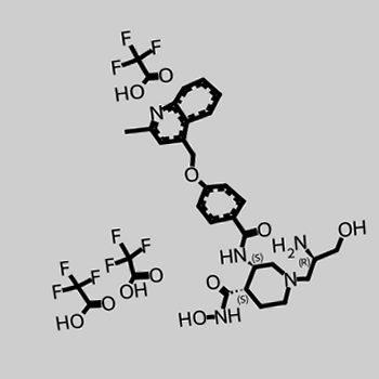 Cc1cc(COc2ccc(C(=O)N[C@@H]3CN(C[C@@H](N)CO)CC[C@@H]3C(=O)NO)cc2)c2ccccc2n1.O=C(O)C(F)(F)F.O=C(O)C(F)(F)F.O=C(O)C(F)(F)F